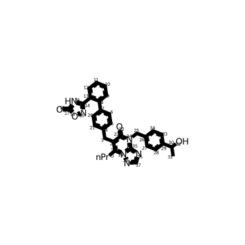 CCCc1c(Cc2ccc(-c3ccccc3-c3noc(=O)[nH]3)cc2)c(=O)n(Cc2ccc(C(C)O)cc2)c2ncnn12